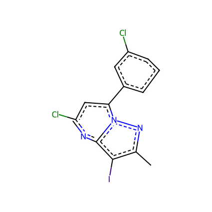 Cc1nn2c(-c3cccc(Cl)c3)cc(Cl)nc2c1I